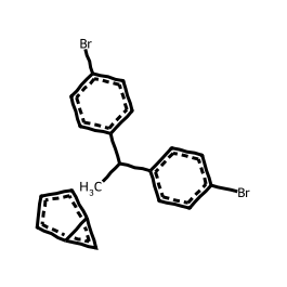 CC(c1ccc(Br)cc1)c1ccc(Br)cc1.c1cc2cc-2c1